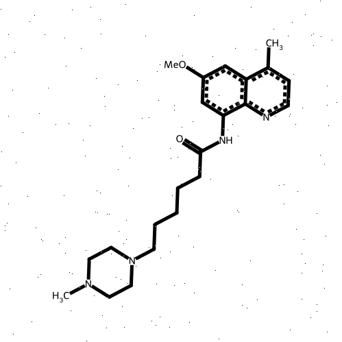 COc1cc(NC(=O)CCCCCN2CCN(C)CC2)c2nccc(C)c2c1